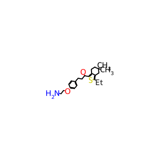 CCc1sc(C(=O)CCc2ccc(OCCN)cc2)c2c1CC(C)(C)CC2